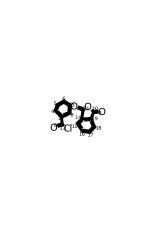 O=C(Cl)c1ccccc1.O=C1OC(=O)c2ccccc21